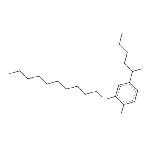 CCCCCCCCCCOc1cc(C(C)CCCC)ccc1I